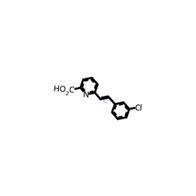 O=C(O)c1cccc(/C=C/c2cccc(Cl)c2)n1